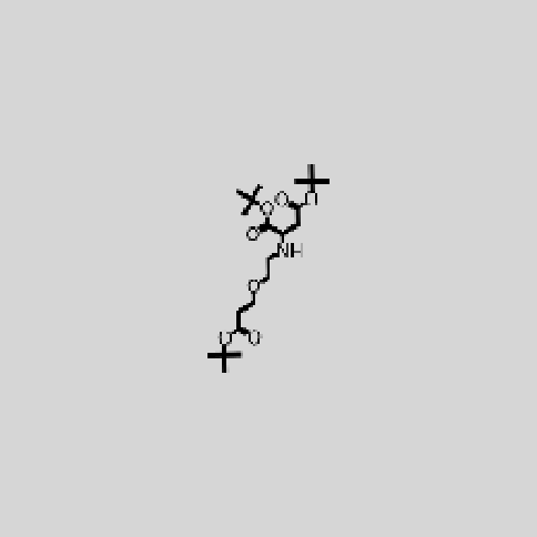 CC(C)(C)OC(=O)CCOCCNC(CC(=O)OC(C)(C)C)C(=O)OC(C)(C)C